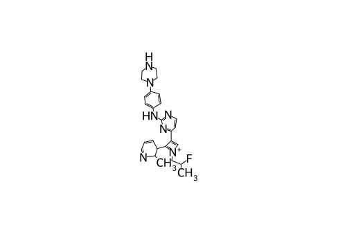 CC(F)C[N+]1=C(C2C=CC=NC2C)C(c2ccnc(Nc3ccc(N4CCNCC4)cc3)n2)=C1